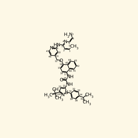 C\C=C/C(=N\C=C/N)Nc1cc(COc2ccc(NC(=O)Nc3cc(C(C)(C)C)nn3-c3ccc(C(C)C)cc3)c3ccccc23)ccn1